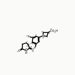 O=C1CC[C@H](c2c(F)cc(N3CC(C(=O)O)C3)cc2F)C(=O)N1